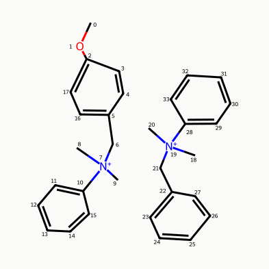 COc1ccc(C[N+](C)(C)c2ccccc2)cc1.C[N+](C)(Cc1ccccc1)c1ccccc1